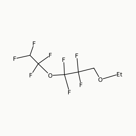 CCOCC(F)(F)C(F)(F)OC(F)(F)C(F)F